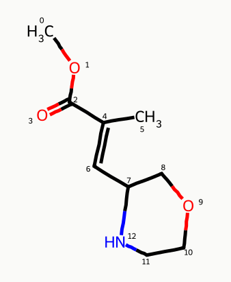 COC(=O)/C(C)=C/C1COCCN1